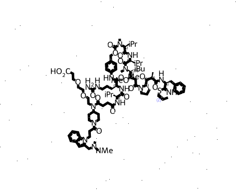 C/C=C\SC(=N)[C@H](Cc1ccccc1)NC(=O)[C@H](C)[C@@H](OC)[C@@H]1CCCN1C(=O)C[C@@H](OC)[C@H]([C@@H](C)CC)N(C)C(=O)[C@@H](NC(=O)[C@H](C(C)C)N(C)C(=O)OCc1ccc(NC(=O)[C@H](CCCNC(N)=O)NC(=O)[C@@H](NC(=O)CCC(=O)N(CCOCCOCCC(=O)O)C2CCN(C(=O)CCn3c(CN(C)NC)cc4ccccc43)CC2)C(C)C)cc1)C(C)C